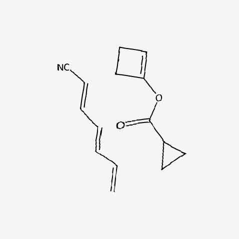 C=CC=CC=CC#N.O=C(OC1=CCC1)C1CC1